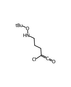 CC(C)(C)ONCCCC(Cl)=C=O